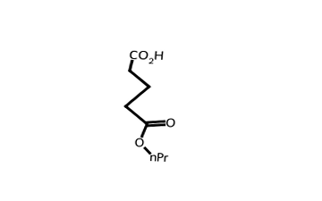 CCCOC(=O)CCCC(=O)O